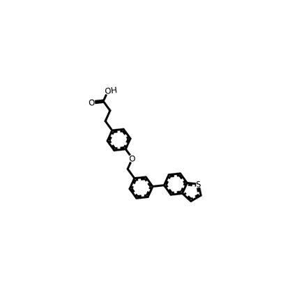 O=C(O)CCc1ccc(OCc2cccc(-c3ccc4sccc4c3)c2)cc1